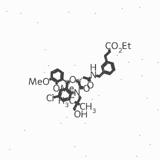 CCOC(=O)CCc1cccc(CNC(=O)C[C@H]2O[C@H](c3cccc(OC)c3OC)c3cc(Cl)ccc3N(CC(C)(C)CO)C2=O)c1